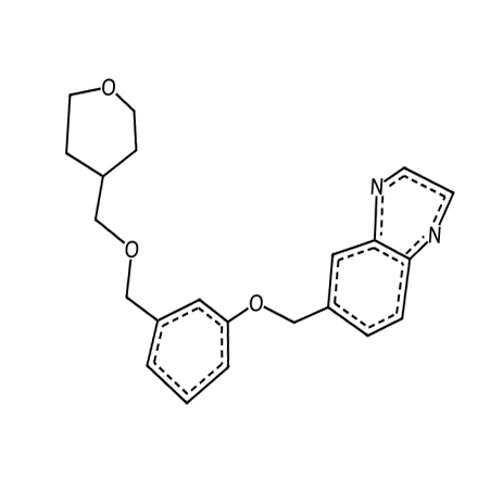 c1cc(COCC2CCOCC2)cc(OCc2ccc3nccnc3c2)c1